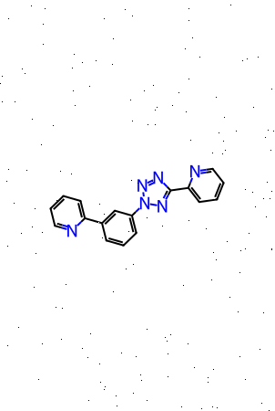 c1ccc(-c2cccc(-n3nnc(-c4ccccn4)n3)c2)nc1